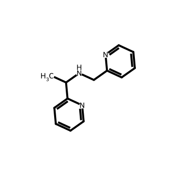 CC(NCc1ccccn1)c1ccccn1